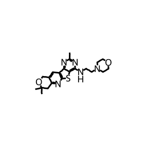 Cc1nc(NCCN2CCOCC2)c2sc3nc4c(cc3c2n1)COC(C)(C)C4